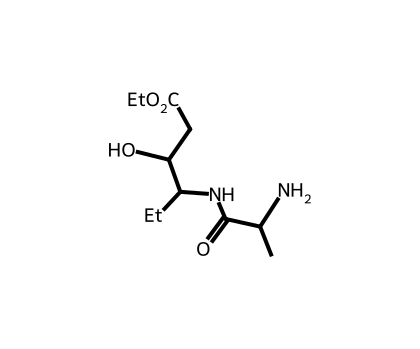 CCOC(=O)CC(O)C(CC)NC(=O)C(C)N